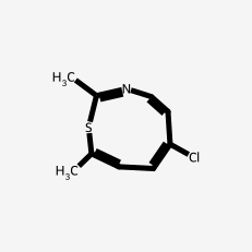 Cc1ccc(Cl)ccnc(C)s1